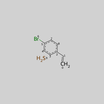 C=Cc1ccc(Br)cc1.S